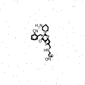 CS(=O)(=O)CCNCc1cc2nc(N3CCCC(N)C3)n(Cc3ccccc3C#N)c(=O)c2s1